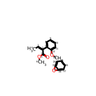 CC=C(C(=O)OC)c1ccccc1OC.c1ccc2c(c1)O2